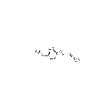 C=CCOc1ccc(NN)cc1